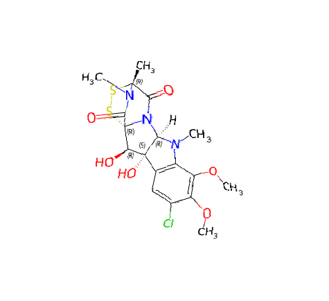 COc1c(Cl)cc2c(c1OC)N(C)[C@@H]1N3C(=O)[C@@]4(C)SS[C@@]3(C(=O)N4C)[C@H](O)[C@]21O